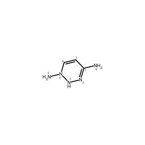 NC1=NNN(N)C=C1